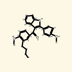 CCCCc1cc(C(=O)c2c(-c3ccc(OC)cc3)sc3ccccc23)ccc1OC